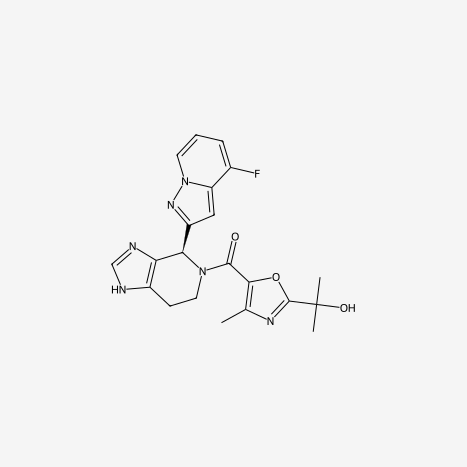 Cc1nc(C(C)(C)O)oc1C(=O)N1CCc2[nH]cnc2[C@H]1c1cc2c(F)cccn2n1